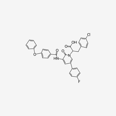 O=C(Nc1cc(-c2ccc(F)cc2)cn(C(Cc2ccc(Cl)cc2)C(=O)O)c1=O)c1ccc(Oc2ccccc2)cc1